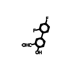 O=[C]c1cc(-c2ccc(F)cc2F)ccc1O